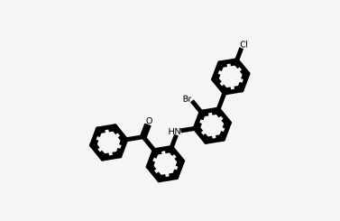 O=C(c1ccccc1)c1ccccc1Nc1cccc(-c2ccc(Cl)cc2)c1Br